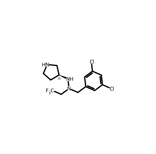 FC(F)(F)CN(Cc1cc(Cl)cc(Cl)c1)N[C@H]1CCNC1